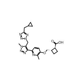 Cc1nc(-c2nnn(C)c2Cn2nnc(CC3CC3)n2)ccc1OC[C@H]1CC[C@@H]1C(=O)O